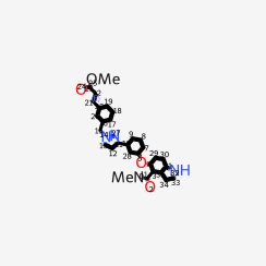 CNC(=O)c1c(Oc2cccc(-c3ccn(Cc4cccc(/C=C/C(=O)OC)c4)n3)c2)ccc2[nH]ccc12